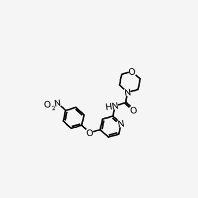 O=C(Nc1cc(Oc2ccc([N+](=O)[O-])cc2)ccn1)N1CCOCC1